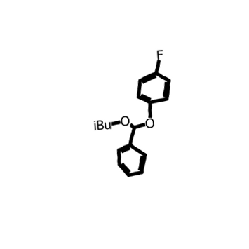 CCC(C)OC(Oc1ccc(F)cc1)c1ccccc1